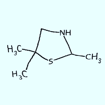 CC1NCC(C)(C)S1